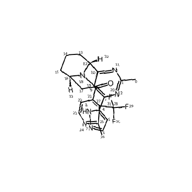 Cc1nc(-c2ccn[nH]2)c2c(n1)[C@H]1CCC[C@@H](C2)N1C(=O)c1ccnc(C)c1C(F)(F)F